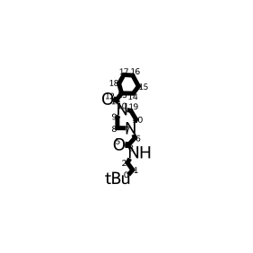 CC(C)(C)CCNC(=O)CN1CCN(C(=O)C2CCCCC2)CC1